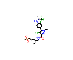 CC[C@H](CCCS(C)(=O)=O)CNC(=O)c1nn(CC)c(-c2ccc(N[C@H](C)C(F)(F)F)cc2)c1Cl